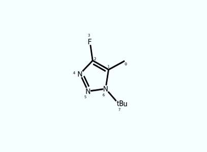 Cc1c(F)nnn1C(C)(C)C